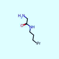 CC(C)CCCNC(=O)CN